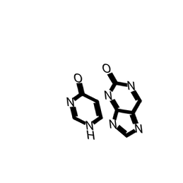 O=C1N=CC2=NC=NC2=N1.O=c1cc[nH]cn1